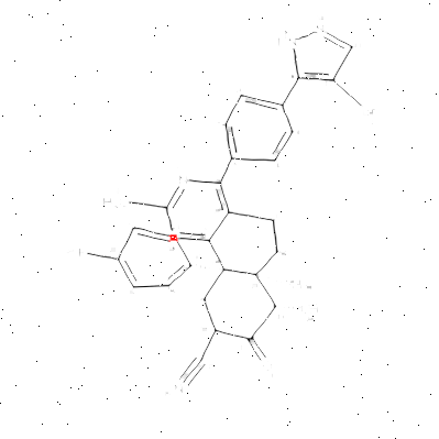 Cc1nc(-c2ccc(-c3[nH]ncc3Br)cc2)c2c(n1)[C@]1(c3ccc(F)cc3)CC(C#N)C(=O)[C@@H](C)[C@@H]1CC2